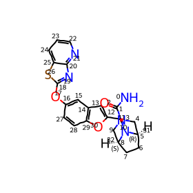 NC(=O)N1C[C@H]2CC[C@@H](C1)N2Cc1cc2cc(Oc3nc4ncccc4s3)ccc2o1